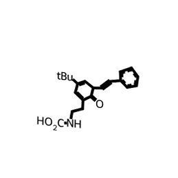 CC(C)(C)C1=CC(C#Cc2ccccc2)C(=O)C(CCNC(=O)O)=C1